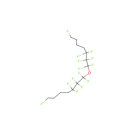 FCCCCC(F)(F)C(F)(F)C(F)(F)OC(F)(F)C(F)(F)C(F)(F)CCCCF